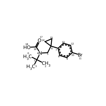 CC(C)(C)N(CC1(c2ccc(Br)cc2)CC1)C(=O)O